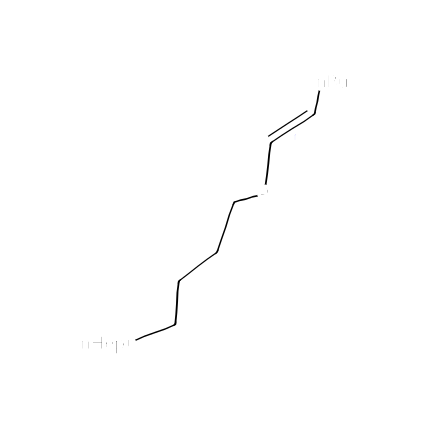 CCCC/C=C/[P]CCCCCCCCCCC